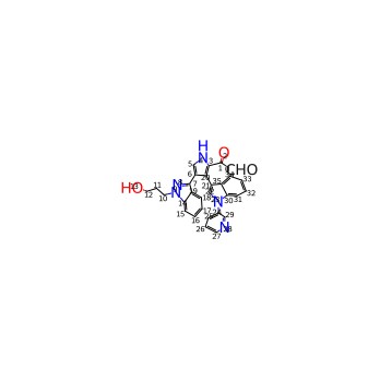 O=CC(=O)c1[nH]cc(-c2nn(CCCO)c3ccccc23)c1-c1cn(-c2cccnc2)c2ccccc12